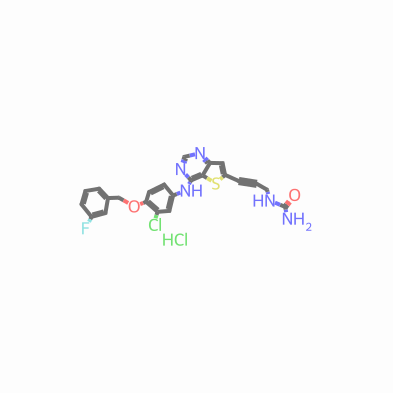 Cl.NC(=O)NCC#Cc1cc2ncnc(Nc3ccc(OCc4cccc(F)c4)c(Cl)c3)c2s1